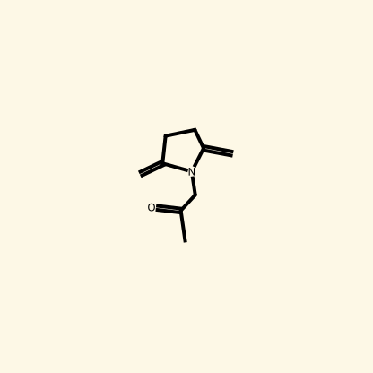 C=C1CCC(=C)N1CC(C)=O